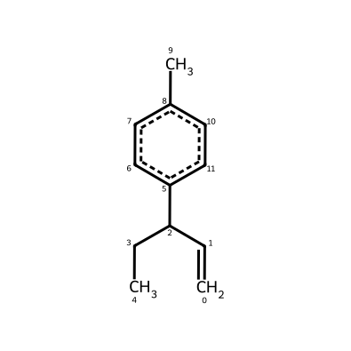 C=CC(CC)c1ccc(C)cc1